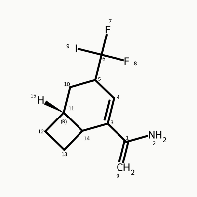 C=C(N)C1=CC(C(F)(F)I)C[C@H]2CCC12